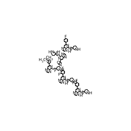 CC(C)n1cc(-c2cc3nccnc3c(CCC3(F)CCCNC3)n2)cn1.FC1(CNc2nc(-c3cnco3)cc3nccnc23)CCCNC1.Fc1ccc(-c2cc3nccnc3c(NCC3(F)CCCNC3)n2)c(F)c1.Fc1ccc(-c2cc3nccnc3c(NCC3(F)CCCNC3)n2)cc1.Fc1ccc(-c2cc3nccnc3c(NCC3(F)CCCNC3)n2)cc1F